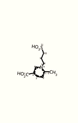 Cc1ccc(C(=O)O)c[n+]1CCCS(=O)(=O)O